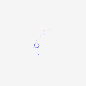 CNCc1cn(CCCNC(C)=O)cn1